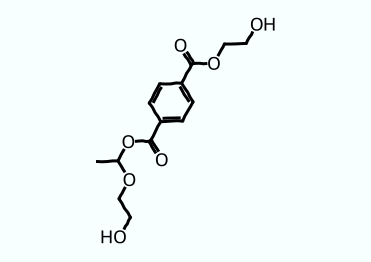 CC(OCCO)OC(=O)c1ccc(C(=O)OCCO)cc1